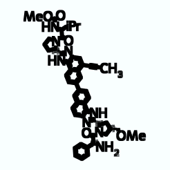 CC#Cc1cc2nc([C@@H]3CCCN3C(=O)C(NC(=O)OC)C(C)C)[nH]c2c2ccc(-c3ccc4c(ccc5nc([C@@H]6C[C@H](COC)CN6C(=O)[C@H](N)c6ccccc6)[nH]c54)c3)cc12